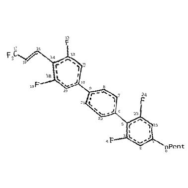 CCCCCc1cc(F)c(-c2ccc(-c3cc(F)c(/C=C/C(F)(F)F)c(F)c3)cc2)c(F)c1